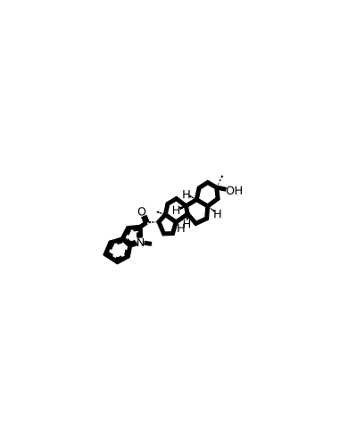 Cn1c(C(=O)[C@H]2CC[C@H]3[C@@H]4CC[C@@H]5C[C@](C)(O)CC[C@@H]5[C@H]4CC[C@]23C)cc2ccccc21